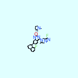 C[C@@H]1Cn2cnc(F)c2CN1c1nc(OC[C@@H]2CCCN2C)nc2cc(-c3cccc4cccc(F)c34)ccc12